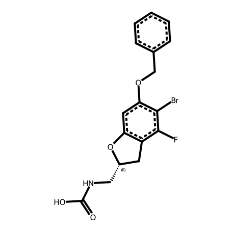 O=C(O)NC[C@H]1Cc2c(cc(OCc3ccccc3)c(Br)c2F)O1